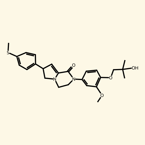 COc1cc(N2CCN3CC(c4ccc(SC)cc4)C=C3C2=O)ccc1OCC(C)(C)O